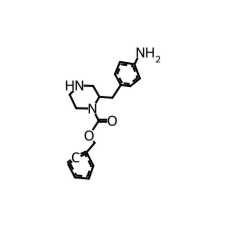 Nc1ccc(CC2CNCCN2C(=O)OCc2ccccc2)cc1